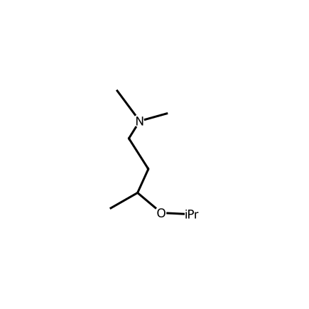 CC(C)OC(C)CCN(C)C